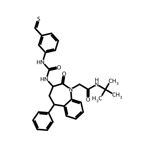 CC(C)(C)NC(=O)CN1C(=O)C(NC(=O)Nc2cccc(C=S)c2)CC(c2ccccc2)c2ccccc21